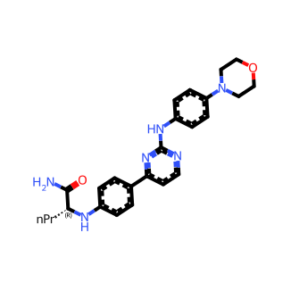 CCC[C@@H](Nc1ccc(-c2ccnc(Nc3ccc(N4CCOCC4)cc3)n2)cc1)C(N)=O